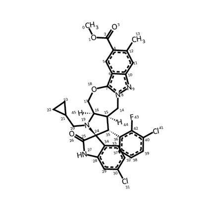 COC(=O)c1cc2c3n(nc2cc1C)C[C@@H]1[C@H](CO3)N(CC2CC2)[C@@]2(C(=O)Nc3cc(Cl)ccc32)[C@H]1c1cccc(Cl)c1F